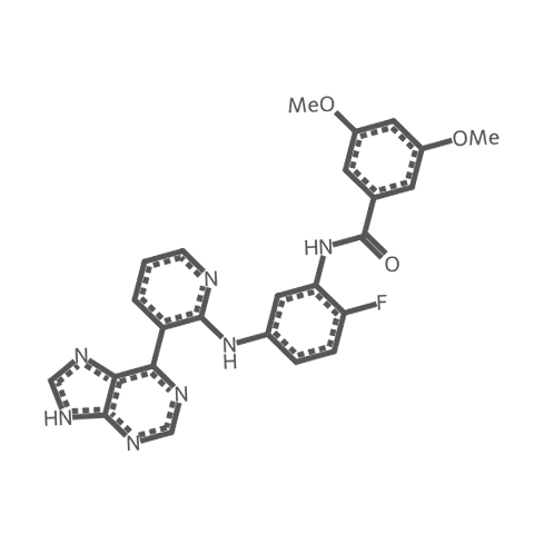 COc1cc(OC)cc(C(=O)Nc2cc(Nc3ncccc3-c3ncnc4[nH]cnc34)ccc2F)c1